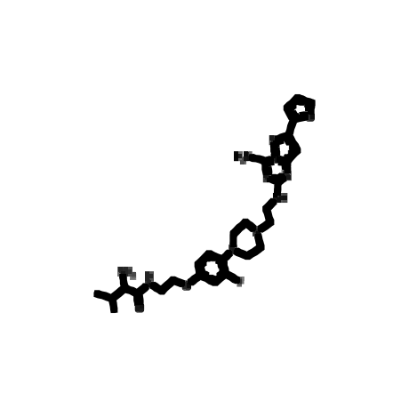 CC(C)C(N)C(=O)NCCOc1ccc(N2CCN(CCNc3nc(N)n4nc(-c5ccco5)cc4n3)CC2)c(F)c1